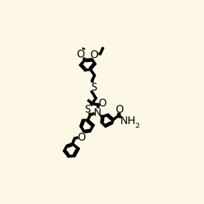 CCOc1cc(CCSCCC2(C)SC(c3ccc(OCc4ccccc4)cc3)N(c3cccc(C(N)=O)c3)C2=O)ccc1OC